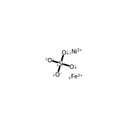 [Fe+2].[Ni+2].[O-][Si]([O-])([O-])[O-]